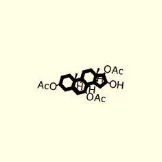 CC(=O)O[C@@H]1CC[C@@]2(C)C(=C[C@@H](OC(C)=O)[C@H]3[C@@H]4C[C@@H](O)[C@H](OC(C)=O)[C@@]4(C)CC[C@@H]32)C1